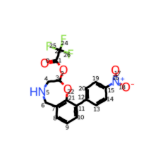 O=C(OC1CNCc2cccc(-c3ccc([N+](=O)[O-])cc3)c2O1)C(F)(F)F